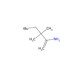 C=C(N)C(C)(C)CC(C)(C)C